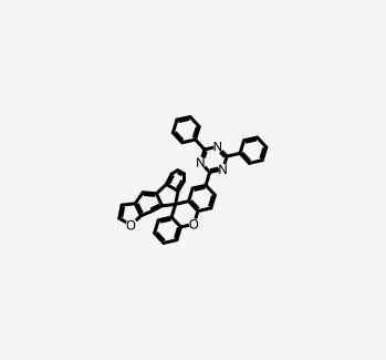 c1ccc(-c2nc(-c3ccccc3)nc(-c3ccc4c(c3)C3(c5ccccc5O4)c4ccccc4-c4cc5ccoc5cc43)n2)cc1